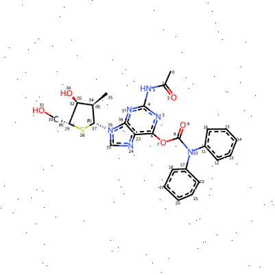 CC(=O)Nc1nc(OC(=O)N(c2ccccc2)c2ccccc2)c2ncn([C@@H]3S[C@H](CO)[C@@H](O)[C@H]3C)c2n1